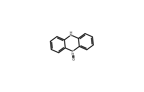 O=[PH]1c2ccccc2Nc2ccccc21